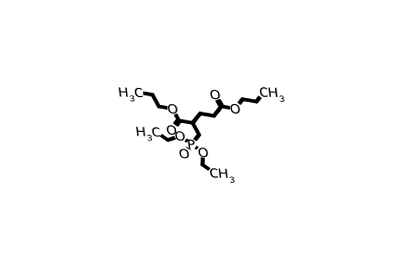 CCCOC(=O)CCC(CP(=O)(OCC)OCC)C(=O)OCCC